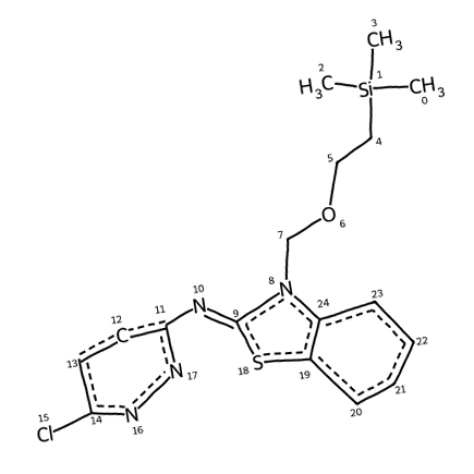 C[Si](C)(C)CCOCn1/c(=N/c2ccc(Cl)nn2)sc2ccccc21